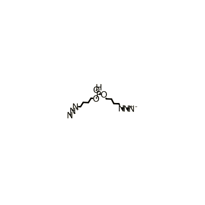 [N-]=[N+]=NCCCCO[PH](=O)OCCCCN=[N+]=[N-]